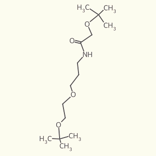 CC(C)(C)OCCOCCCNC(=O)COC(C)(C)C